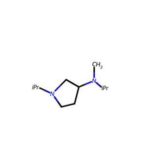 CC(C)N1CCC(N(C)C(C)C)C1